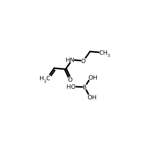 C=CC(=O)NOCC.OB(O)O